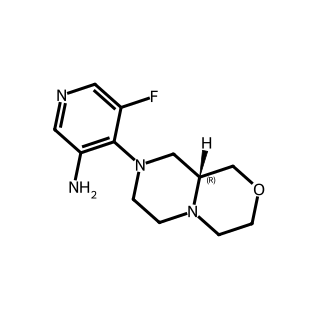 Nc1cncc(F)c1N1CCN2CCOC[C@H]2C1